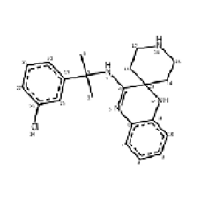 CC(C)(NC1=Nc2ccccc2NC12CCNCC2)c1cccc(Cl)c1